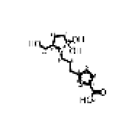 O=C(O)c1ccc(CCCN2C(CO)CCS2(O)O)s1